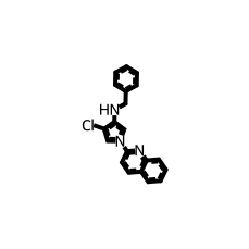 Clc1cn(-c2ccc3ccccc3n2)cc1NCc1ccccc1